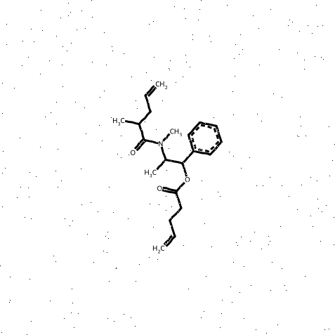 C=CCCC(=O)OC(c1ccccc1)C(C)N(C)C(=O)C(C)CC=C